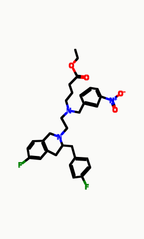 CCOC(=O)CCCN(CCN1Cc2ccc(F)cc2CC1Cc1ccc(F)cc1)Cc1cccc([N+](=O)[O-])c1